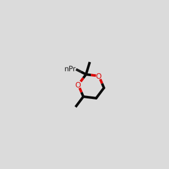 CCCC1(C)OCCC(C)O1